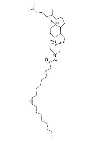 CCCCCCCC/C=C\CCCCCCCC(=O)O[C@H]1CC[C@@]2(C)C(=CCC3C4CCC(C(C)CCCC(C)C)[C@@]4(C)CCC32)C1